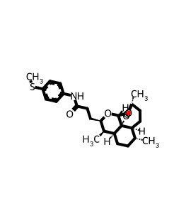 CSc1ccc(NC(=O)CC[C@H]2O[C@@H]3O[C@]4(C)CC[C@H]5[C@H](C)CC[C@@H]([C@H]2C)[C@@]35OO4)cc1